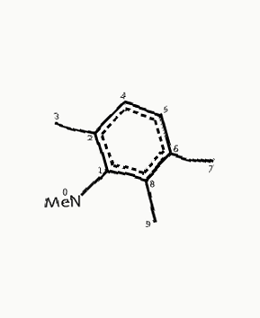 CNc1c(C)ccc(C)c1C